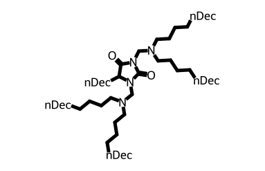 CCCCCCCCCCCCCCN(CCCCCCCCCCCCCC)CN1C(=O)C(CCCCCCCCCC)N(CN(CCCCCCCCCCCCCC)CCCCCCCCCCCCCC)C1=O